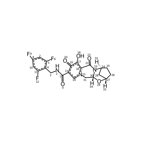 O=C(NCc1c(F)cc(F)cc1F)c1cn2c(c(O)c1=O)C(=O)N1[C@H]3CC[C@@H](C3)O[C@@H]1C2